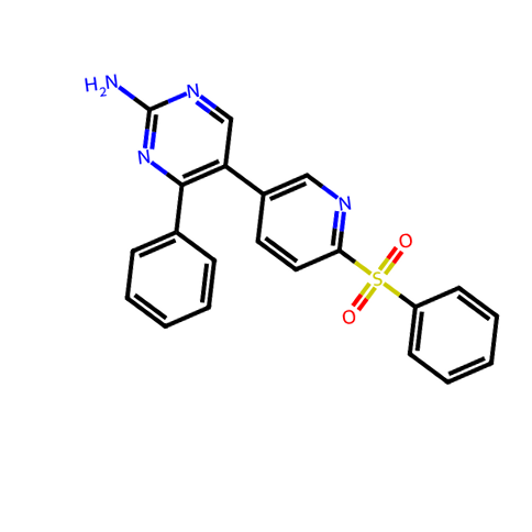 Nc1ncc(-c2ccc(S(=O)(=O)c3ccccc3)nc2)c(-c2ccccc2)n1